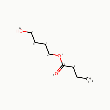 CCCC(=O)OCCCCO